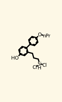 CCCOc1ccc(-c2ccc(O)cc2CCC[SiH](Cl)Cl)cc1